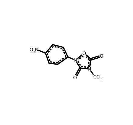 O=c1on(-c2ccc([N+](=O)[O-])cc2)c(=O)n1C(Cl)(Cl)Cl